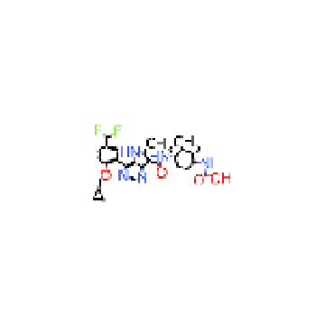 Cc1[nH]c2c(-c3cc(C(F)F)ccc3OCC3CC3)ncnc2c1C(=O)N[C@H]1CC[C@H](NC(=O)O)C[C@@H]1C